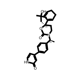 C[C@@H](c1ccc(-c2cc[nH]c(=O)c2)cc1)N1CC[C@](CC(C)(C)O)(C2=CCCC=C2)OC1=O